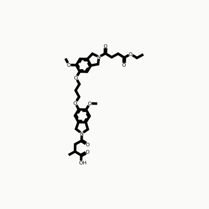 CCOC(=O)CCC(=O)N1Cc2cc(OC)c(OCCCOc3cc4c(cc3OC)CN(C(=O)CC(C)C(=O)O)C4)cc2C1